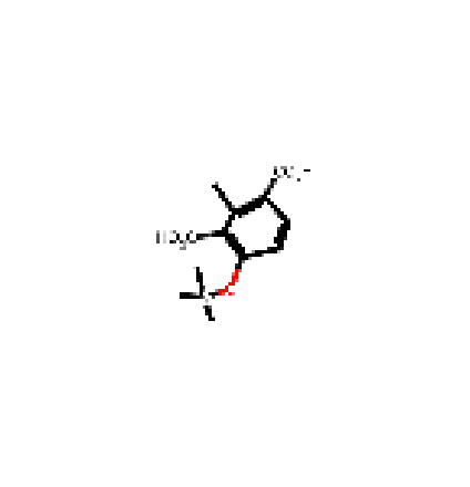 Cc1c(C(=O)O)ccc(O[Si](C)(C)C)c1C(=O)O